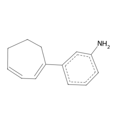 Nc1cccc(C2=CC=CCCC2)c1